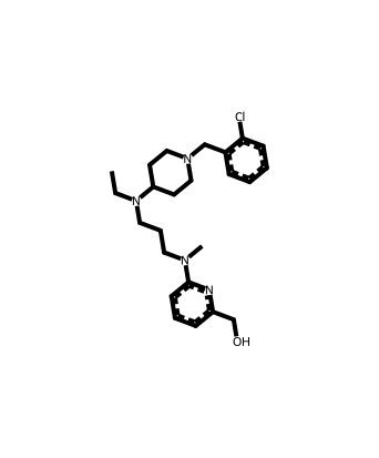 CCN(CCCN(C)c1cccc(CO)n1)C1CCN(Cc2ccccc2Cl)CC1